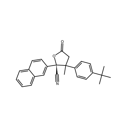 CC(C)(C)c1ccc(C2(C)CC(=O)O[C@@]2(C#N)c2ccc3ccccc3c2)cc1